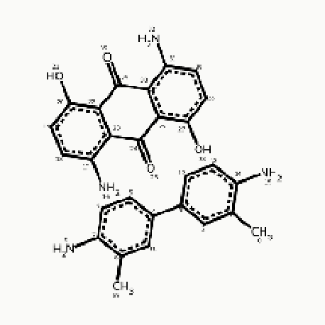 Cc1cc(-c2ccc(N)c(C)c2)ccc1N.Nc1ccc(O)c2c1C(=O)c1c(O)ccc(N)c1C2=O